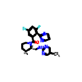 C[C@@H]1CCCN(C(=O)c2cc(F)cc(F)c2-c2ncccn2)[C@@H]1CNc1ncc(C(F)(F)F)cn1